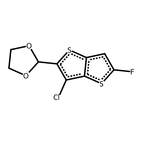 Fc1cc2sc(C3OCCO3)c(Cl)c2s1